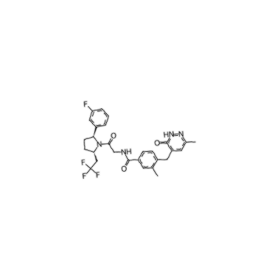 Cc1cc(Cc2ccc(C(=O)NCC(=O)N3[C@@H](CC(F)(F)F)CC[C@H]3c3cccc(F)c3)cc2C)c(=O)[nH]n1